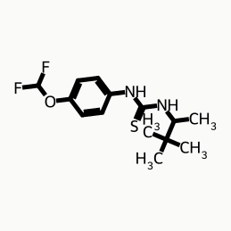 CC(NC(=S)Nc1ccc(OC(F)F)cc1)C(C)(C)C